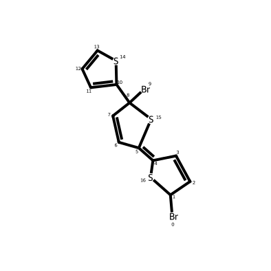 BrC1C=CC(=C2C=CC(Br)(c3cccs3)S2)S1